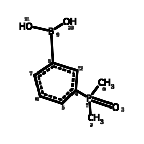 CP(C)(=O)c1cccc(B(O)O)c1